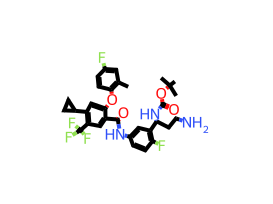 Cc1cc(F)ccc1Oc1cc(C2CC2)c(C(F)(F)F)cc1C(=O)Nc1ccc(F)c(C(CCN)NC(=O)OC(C)(C)C)c1